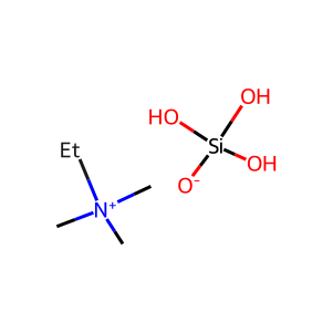 CC[N+](C)(C)C.[O-][Si](O)(O)O